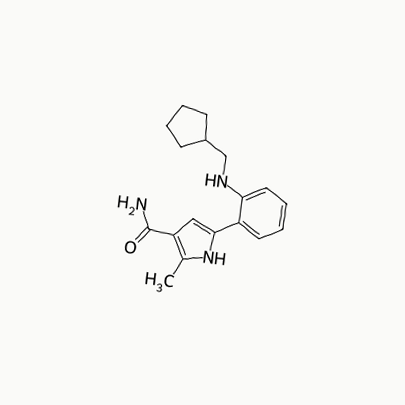 Cc1[nH]c(-c2ccccc2NCC2CCCC2)cc1C(N)=O